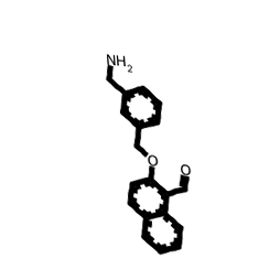 NCc1cccc(COc2ccc3ccccc3c2C=O)c1